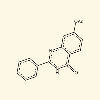 CC(=O)Oc1ccc2c(=O)[nH]c(-c3ccccc3)nc2c1